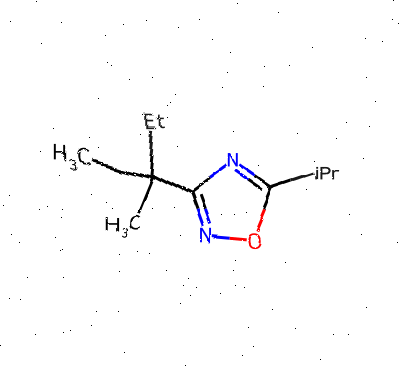 CCC(C)(C)c1noc(C(C)C)n1